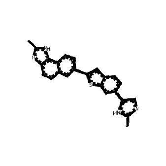 Cc1ncc(-c2ccc3cc(-c4ccc5c(ccc6nc(C)[nH]c65)c4)sc3c2)[nH]1